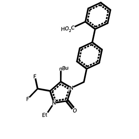 CCCCc1c(C(F)F)n(CC)c(=O)n1Cc1ccc(-c2ccccc2C(=O)O)cc1